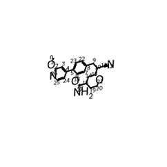 COc1cc(-c2ccc(CC(C#N)C3CC(C(N)=O)CCO3)cc2)ccn1